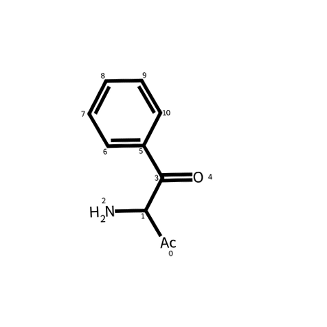 CC(=O)C(N)C(=O)c1ccccc1